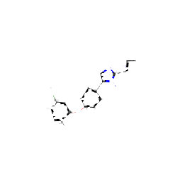 CCC/C=C/c1ncc(-c2ccc(Oc3cc(Cl)ccc3C=O)cc2)n1C